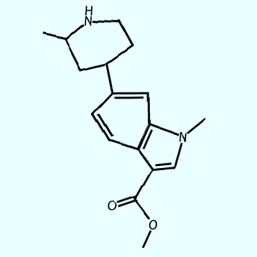 COC(=O)c1cn(C)c2cc(C3CCNC(C)C3)ccc12